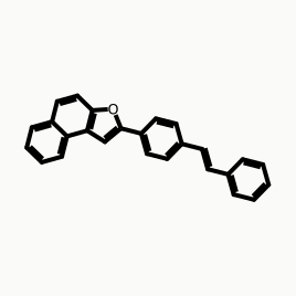 C(=Cc1ccc(-c2cc3c(ccc4ccccc43)o2)cc1)c1ccccc1